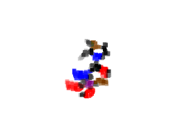 O=C(NP(=O)(O)S)N1CCSC1